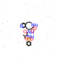 CC(C)C(NS(=O)(=O)c1ccccc1)C(=O)NC1Cc2cnccc2CCCNC(=O)C1=O